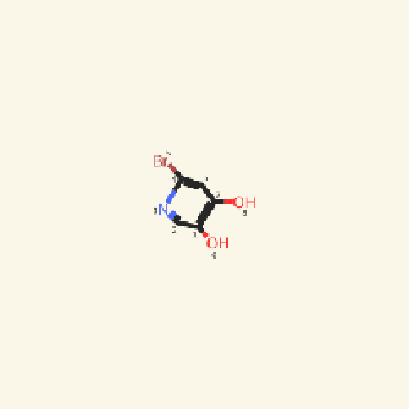 Oc1cnc(Br)cc1O